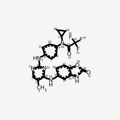 Cc1cnc(Nc2ccc(N(C(=O)C(F)(F)F)C3CC3)cc2)nc1Nc1ccc2oc(=O)[nH]c2c1